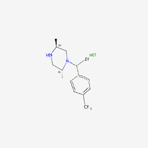 CCC(c1ccc(C(F)(F)F)cc1)N1C[C@H](C)NC[C@H]1C.Cl